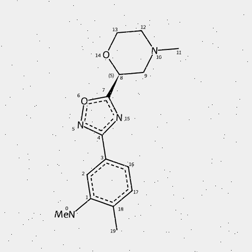 CNc1cc(-c2noc([C@@H]3CN(C)CCO3)n2)ccc1C